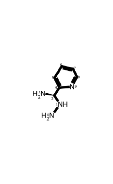 NN[C@@H](N)c1ccccn1